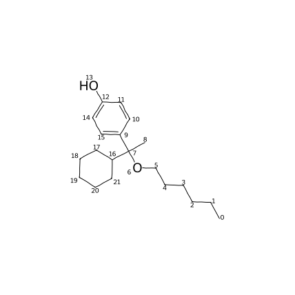 CCCCCCOC(C)(c1ccc(O)cc1)C1CCCCC1